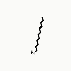 CCC/C=C/CCCCCCCBr